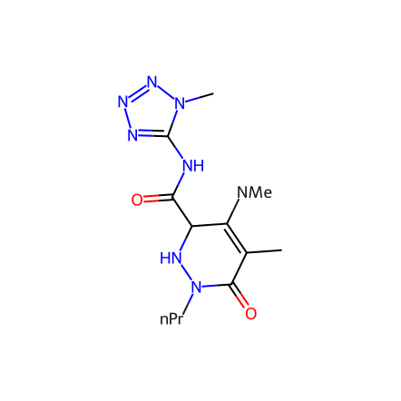 CCCN1NC(C(=O)Nc2nnnn2C)C(NC)=C(C)C1=O